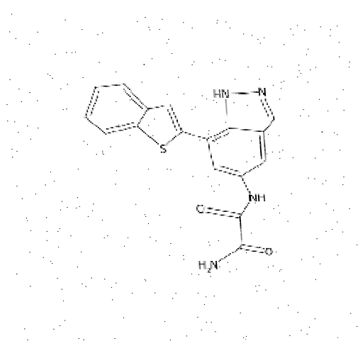 NC(=O)C(=O)Nc1cc(-c2cc3ccccc3s2)c2[nH]ncc2c1